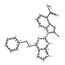 Cc1cc2c(C(N)=O)cccc2n1-c1nc(NCc2ccccc2)c2ccsc2n1